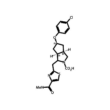 CNC(=O)c1csc(CC2[C@H]3C[C@@H](Oc4ccc(Cl)cc4)C[C@H]3CN2C(=O)O)n1